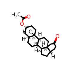 CC(=O)O[C@@H]1CC[C@@]2(C)[C@@H](CC[C@@H]3[C@@H]2CC[C@@]24CC(=O)CC[C@H]2CC[C@@H]34)C1